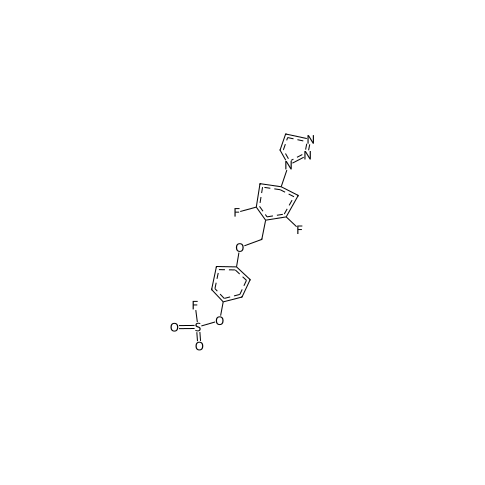 O=S(=O)(F)Oc1ccc(OCc2c(F)cc(-n3ccnn3)cc2F)cc1